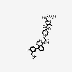 Cc1nc(NC(=O)O)sc1S(=O)(=O)N1CCN(C[C@H](C)Nc2ncnc3c(-c4ccc(F)c(CN(C)C)c4)cccc23)CC1